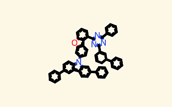 C1=CC(c2nc(-c3ccccc3)nc(-c3cccc4oc5cc(-n6c7ccc(-c8ccccc8)cc7c7ccc(-c8ccccc8)cc76)ccc5c34)n2)=CC(c2ccccc2)C1